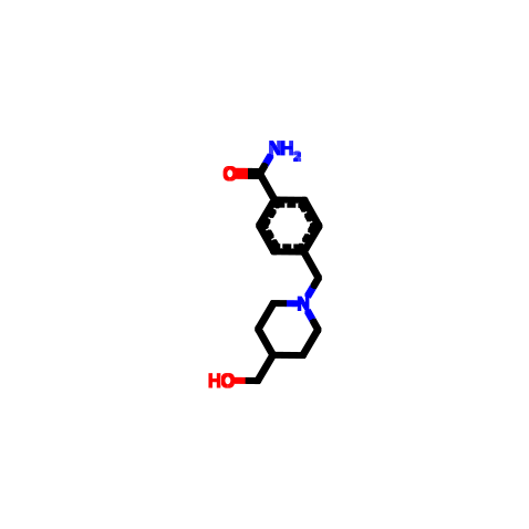 NC(=O)c1ccc(CN2CCC(CO)CC2)cc1